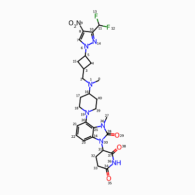 CN(CC1CC(n2cc([N+](=O)[O-])c(C(F)F)n2)C1)C1CCN(c2cccc3c2n(C)c(=O)n3C2CCC(=O)NC2=O)CC1